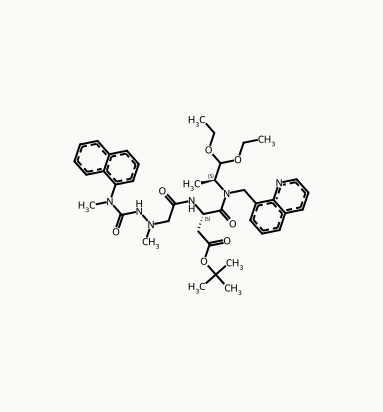 CCOC(OCC)[C@H](C)N(Cc1cccc2cccnc12)C(=O)[C@H](CC(=O)OC(C)(C)C)NC(=O)CN(C)NC(=O)N(C)c1cccc2ccccc12